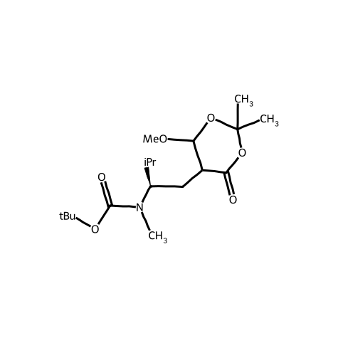 COC1OC(C)(C)OC(=O)C1C[C@H](C(C)C)N(C)C(=O)OC(C)(C)C